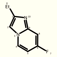 CCc1cn2ccc(F)cc2n1